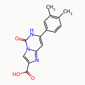 Cc1ccc(-c2cc3nc(C(=O)O)cn3c(=O)[nH]2)cc1C